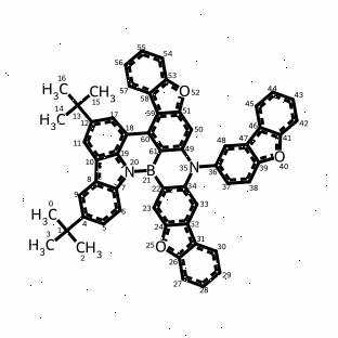 CC(C)(C)c1ccc2c(c1)c1cc(C(C)(C)C)cc3c1n2B1c2cc4oc5ccccc5c4cc2N(c2ccc4oc5ccccc5c4c2)c2cc4oc5ccccc5c4c-3c21